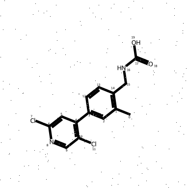 Cc1cc(-c2cc(Cl)ncc2Cl)ccc1CNC(=O)O